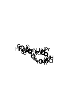 CNC(=O)COc1cc2cc(Nc3nc(N4CCN(CC5CC6(CCN(c7ccc8c(c7)C(=O)N(C7CCC(=O)NC7=O)C8=O)CC6)C5)CC4)ncc3Cl)ccc2n(C(C)C)c1=O